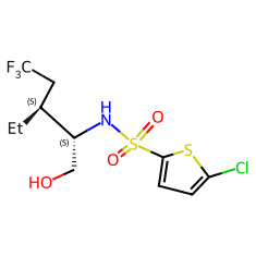 CC[C@@H](CC(F)(F)F)[C@@H](CO)NS(=O)(=O)c1ccc(Cl)s1